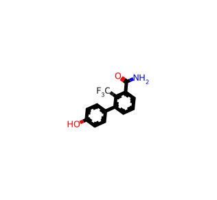 NC(=O)c1cccc(-c2ccc(O)cc2)c1C(F)(F)F